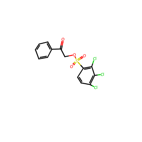 O=C(COS(=O)(=O)c1ccc(Cl)c(Cl)c1Cl)c1ccccc1